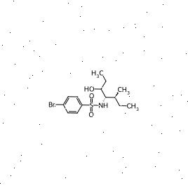 CCC(O)[C@@H](NS(=O)(=O)c1ccc(Br)cc1)[C@@H](C)CC